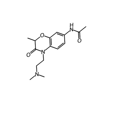 CC(=O)Nc1ccc2c(c1)OC(C)C(=O)N2CCN(C)C